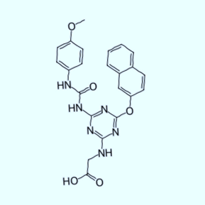 COc1ccc(NC(=O)Nc2nc(NCC(=O)O)nc(Oc3ccc4ccccc4c3)n2)cc1